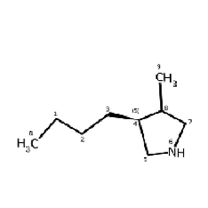 CCCC[C@@H]1CNCC1C